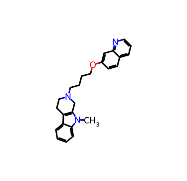 Cn1c2c(c3ccccc31)CCN(CCCCOc1ccc3cccnc3c1)C2